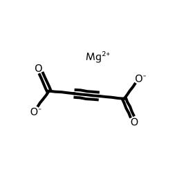 O=C([O-])C#CC(=O)[O-].[Mg+2]